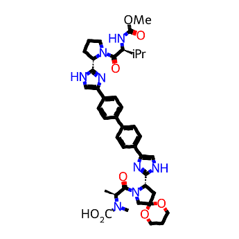 COC(=O)N[C@H](C(=O)N1CCC[C@H]1c1nc(-c2ccc(-c3ccc(-c4c[nH]c([C@@H]5CC6(CN5C(=O)[C@H](C)N(C)C(=O)O)OCCCO6)n4)cc3)cc2)c[nH]1)C(C)C